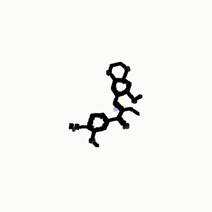 CC/C(=C\c1cc2c(cc1OC)OCCO2)C(=O)c1ccc(N)c(OC)c1